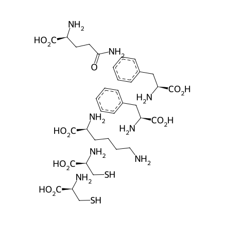 NC(=O)CC[C@H](N)C(=O)O.NCCCC[C@H](N)C(=O)O.N[C@@H](CS)C(=O)O.N[C@@H](CS)C(=O)O.N[C@@H](Cc1ccccc1)C(=O)O.N[C@@H](Cc1ccccc1)C(=O)O